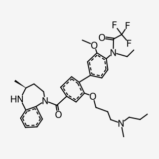 CCCN(C)CCCOc1cc(C(=O)N2CC[C@H](C)Nc3ccccc32)ccc1-c1ccc(N(CC)C(=O)C(F)(F)F)c(OC)c1